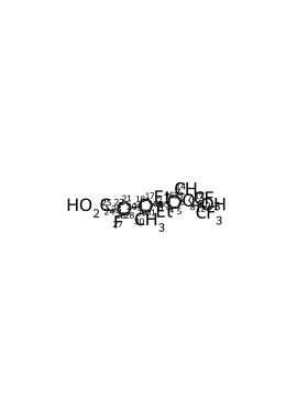 CCC(CC)(c1ccc(OCC(O)(C(F)(F)F)C(F)(F)F)c(C)c1)c1ccc(-c2ccc(CC(=O)O)c(F)c2)c(C)c1